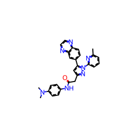 Cc1cccc(-n2nc(CC(=O)Nc3ccc(N(C)C)cc3)cc2-c2ccc3nccnc3c2)n1